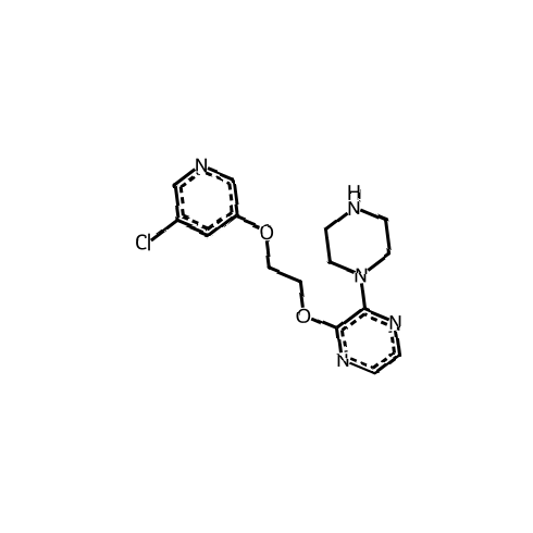 Clc1cncc(OCCOc2nccnc2N2CCNCC2)c1